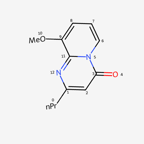 CCCc1cc(=O)n2cccc(OC)c2n1